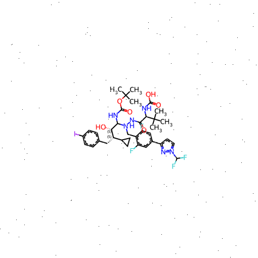 CC(C)(C)OC(=O)NC([C@@H](O)[C@@H](Cc1ccc(I)cc1)C1CC1)N(Cc1c(F)cc(-c2ccn(C(F)F)n2)cc1F)NC(=O)C(NC(=O)O)C(C)(C)C